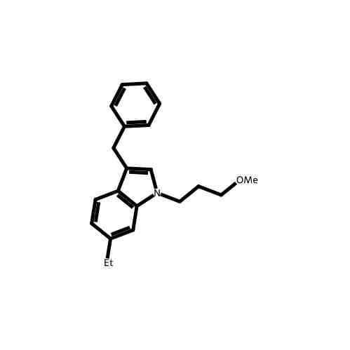 CCc1ccc2c(Cc3ccccc3)cn(CCCOC)c2c1